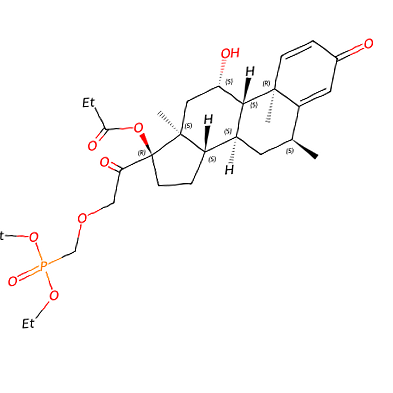 CCOP(=O)(COCC(=O)[C@@]1(OC(=O)CC)CC[C@H]2[C@@H]3C[C@H](C)C4=CC(=O)C=C[C@]4(C)[C@H]3[C@@H](O)C[C@@]21C)OCC